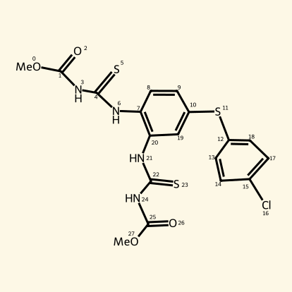 COC(=O)NC(=S)Nc1ccc(Sc2ccc(Cl)cc2)cc1NC(=S)NC(=O)OC